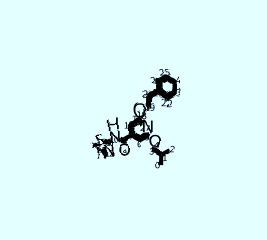 CC(C)COc1cc(C(=O)Nc2nncs2)cc(OCCc2ccccc2)n1